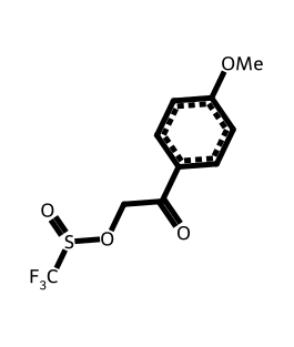 COc1ccc(C(=O)COS(=O)C(F)(F)F)cc1